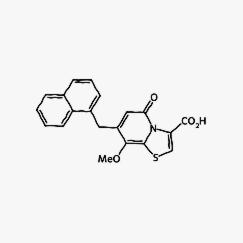 COc1c(Cc2cccc3ccccc23)cc(=O)n2c(C(=O)O)csc12